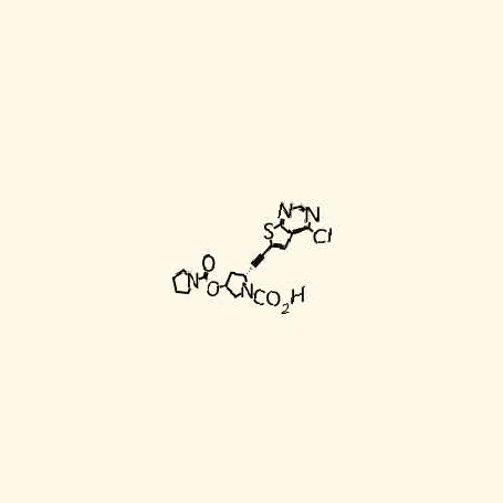 O=C(O[C@H]1C[C@H](C#Cc2cc3c(Cl)ncnc3s2)N(C(=O)O)C1)N1CCCC1